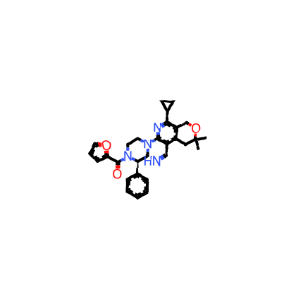 CC1(C)Cc2c(C=N)c(N3CCN(C(=O)c4ccco4)[C@H](c4ccccc4)C3)nc(C3CC3)c2CO1